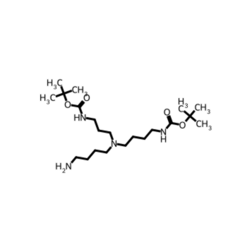 CC(C)(C)OC(=O)NCCCCN(CCCCN)CCCNC(=O)OC(C)(C)C